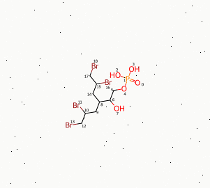 O=P(O)(O)OCC(O)C(CC(Br)CBr)CC(Br)CBr